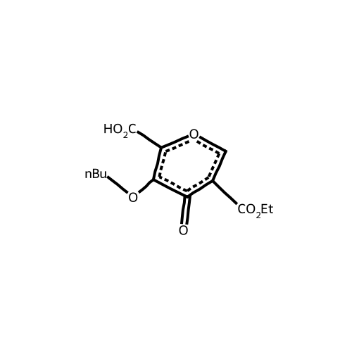 CCCCOc1c(C(=O)O)occ(C(=O)OCC)c1=O